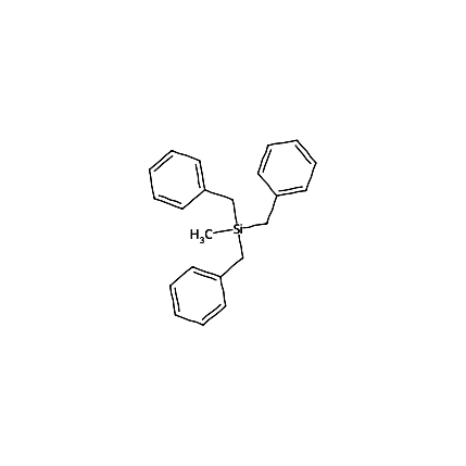 C[Si](Cc1ccccc1)(Cc1ccccc1)Cc1ccccc1